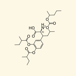 CCCC(C)OC(=O)OC(C)CC(c1ccc(OC(=O)C(C)CC)c(OC(=O)C(C)CC)c1)[C@H](N)C(=O)O